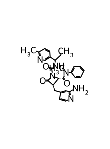 CCC(NC(=O)N1C(=O)[C@H](Cc2ccnc(N)c2)[C@H]1C(=O)N(C)c1ccccc1)c1ccc(C)nc1